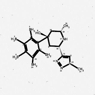 Bc1c(B)c(B)c([C@@]2(O)C[C@@H](c3cn(C)nn3)N[C@@H](C)C2)c(B)c1B